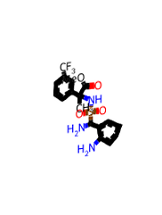 COC(=O)C(C)(NS(=O)(=O)C(N)c1ccccc1N)c1cccc(C(F)(F)F)c1